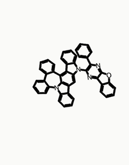 c1ccc(-c2nc3oc4ccccc4c3nc2-n2c3ccccc3c3c4c5c(cc32)c2ccccc2n5-c2ccccc2-c2ccccc2-4)cc1